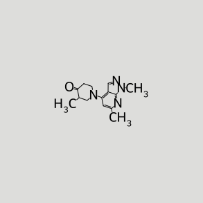 Cc1cc(N2CCC(=O)C(C)C2)c2cnn(C)c2n1